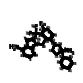 Nc1ncnc2c1ncn2Cc1c(N2CCC(N)(c3ccccc3)C2)ccc(F)c1C(F)(F)F